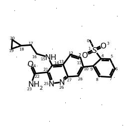 CS(=O)(=O)c1ccccc1-c1ccc2c(NCCC3CC3)c(C(N)=O)nnc2c1